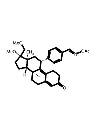 COC[C@]1(OC)CC[C@H]2[C@@H]3CCC4=CC(=O)CCC4=C3[C@@H](c3ccc(C=NOC(C)=O)cc3)C[C@@]21C